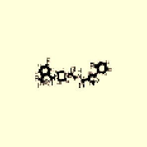 O=C(NCC(=O)N1CCN(C(=O)c2cc(F)ccc2C(F)(F)F)CC1)c1cc(C2CC=CC=C2F)on1